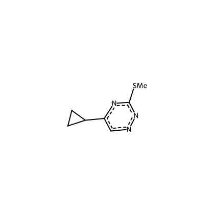 CSc1nncc(C2CC2)n1